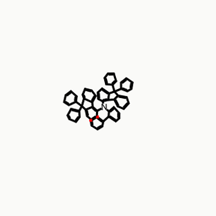 c1ccc(-c2ccccc2N(c2cccc3c2-c2ccccc2C3(c2ccccc2)c2ccccc2)c2cccc3c2-c2ccccc2C3(c2ccccc2)c2ccccc2)cc1